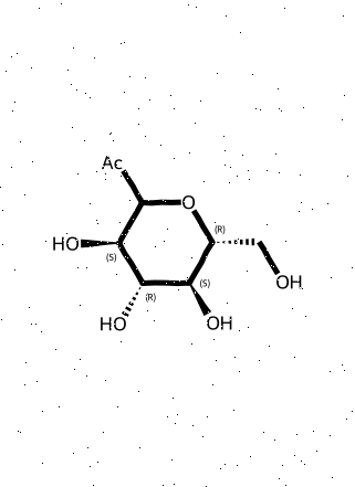 CC(=O)[C]1O[C@H](CO)[C@@H](O)[C@H](O)[C@H]1O